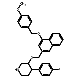 COc1ccc(COc2cc(COC3CNCCC3c3ccc(F)cc3)cc3ccccc23)cc1